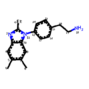 CCc1nc2cc(C)c(C)cc2n1-c1ccc(CCN)cc1